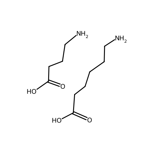 NCCCC(=O)O.NCCCCCC(=O)O